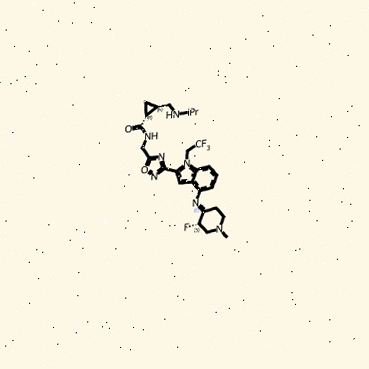 CC(C)NC[C@@H]1C[C@H]1C(=O)NCc1nc(-c2cc3c(/N=C4\CCN(C)C[C@@H]4F)cccc3n2CC(F)(F)F)no1